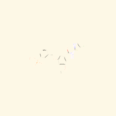 CC(C)Oc1cc(OCc2cccc(P(=O)(O)O)c2)cc(C(=O)Nc2ncc(Cl)s2)c1